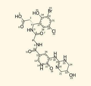 O=C(O)C[C@@H](NC(=O)CNC(=O)c1c[nH]c(=O)c(NC2=NCC(O)CN2)c1)c1cc(Cl)cc(Br)c1O